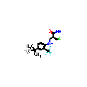 CC(C)(C)c1ccc(NCC(CCl)C(N)=O)c(C(F)(F)F)c1